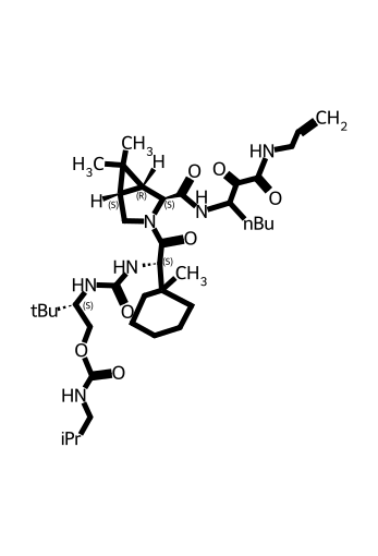 C=CCNC(=O)C(=O)C(CCCC)NC(=O)[C@@H]1[C@@H]2[C@H](CN1C(=O)[C@@H](NC(=O)N[C@H](COC(=O)NCC(C)C)C(C)(C)C)C1(C)CCCCC1)C2(C)C